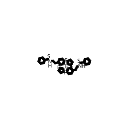 Fc1ccc(CCNC(=S)c2ccccc2)c(F)[c]1[Ti]([C]1=CC=CC1)([C]1=CC=CC1)[c]1c(F)ccc(CCNC(=S)c2ccccc2)c1F